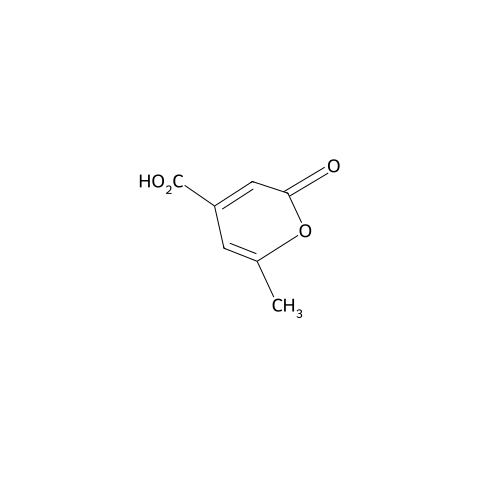 Cc1cc(C(=O)O)cc(=O)o1